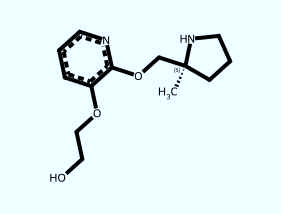 C[C@@]1(COc2ncccc2OCCO)CCCN1